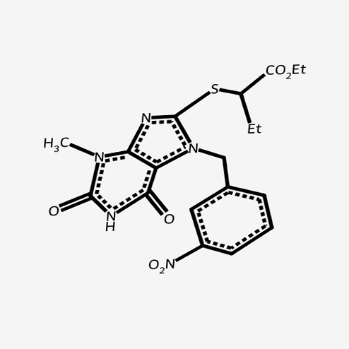 CCOC(=O)C(CC)Sc1nc2c(c(=O)[nH]c(=O)n2C)n1Cc1cccc([N+](=O)[O-])c1